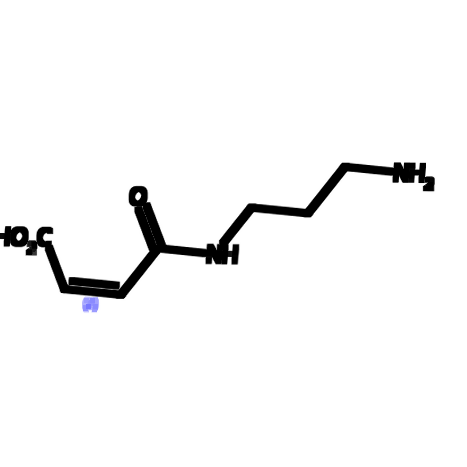 NCCCNC(=O)/C=C\C(=O)O